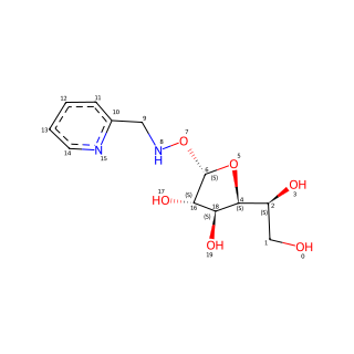 OC[C@H](O)[C@@H]1O[C@@H](ONCc2ccccn2)[C@@H](O)[C@@H]1O